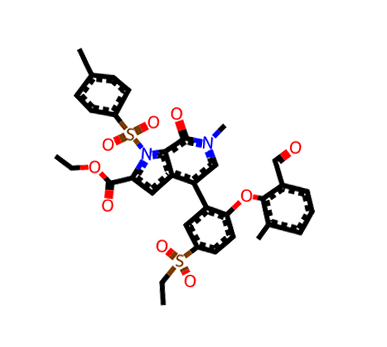 CCOC(=O)c1cc2c(-c3cc(S(=O)(=O)CC)ccc3Oc3c(C)cccc3C=O)cn(C)c(=O)c2n1S(=O)(=O)c1ccc(C)cc1